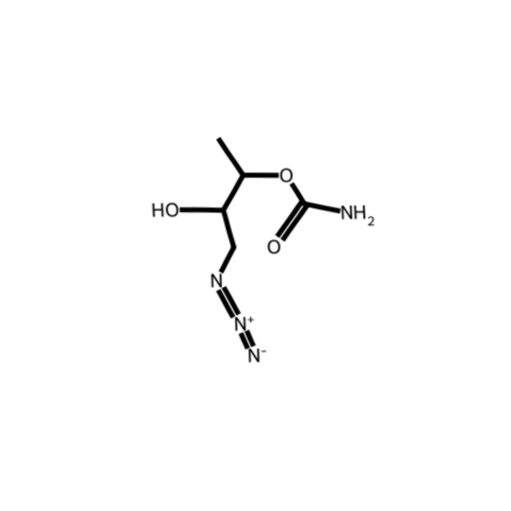 CC(OC(N)=O)C(O)CN=[N+]=[N-]